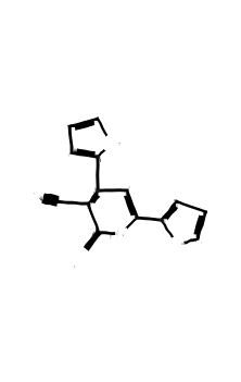 N#Cc1c(-c2ccco2)cc(-c2ccco2)[nH]c1=O